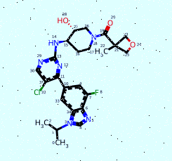 CC(C)n1cnc2c(F)cc(-c3nc(N[C@@H]4CCN(C(=O)C5(C)COC5)C[C@H]4O)ncc3Cl)cc21